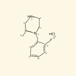 CC1CNCCN1c1ccccc1F.Cl